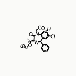 C[C@@H](OC(C)(C)C)[C@@H]1N=C(c2ccccc2)c2cc(Cl)ccc2N(CC(=O)O)C1=O